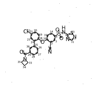 N#Cc1cc(S(=O)(=O)Nc2ncns2)ccc1Oc1ccc(Cl)cc1-c1cccc(C(=O)N2CCC2)c1